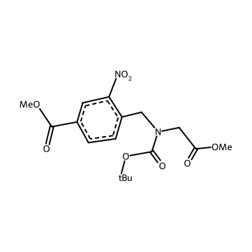 COC(=O)CN(Cc1ccc(C(=O)OC)cc1[N+](=O)[O-])C(=O)OC(C)(C)C